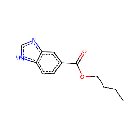 CCCCOC(=O)c1ccc2[nH]cnc2c1